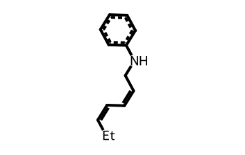 CC/C=C\C=C/CNc1ccccc1